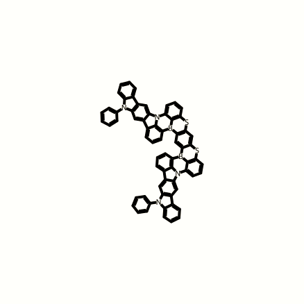 c1ccc(-n2c3ccccc3c3cc4c(cc32)c2cccc3c2n4-c2cccc4c2B3c2cc3c(cc2S4)Sc2cccc4c2B3c2cccc3c5cc6c(cc5n-4c23)c2ccccc2n6-c2ccccc2)cc1